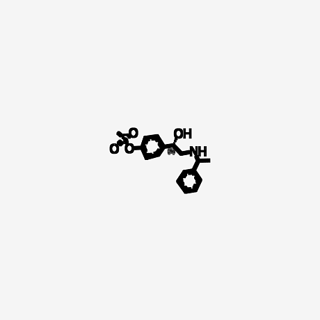 CC(NC[C@@H](O)c1ccc(OS(C)(=O)=O)cc1)c1ccccc1